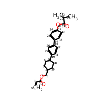 C=CC(=O)OCC1CCC(c2ccc(-c3ccc(OC(=O)C(=C)C)cc3)cc2)CC1